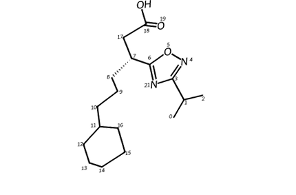 CC(C)c1noc([C@H](CCCC2CCCCC2)CC(=O)O)n1